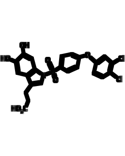 O=C(O)CCc1cn(S(=O)(=O)c2ccc(Oc3ccc(Cl)c(Cl)c3)cc2)c2cc(O)c(O)cc12